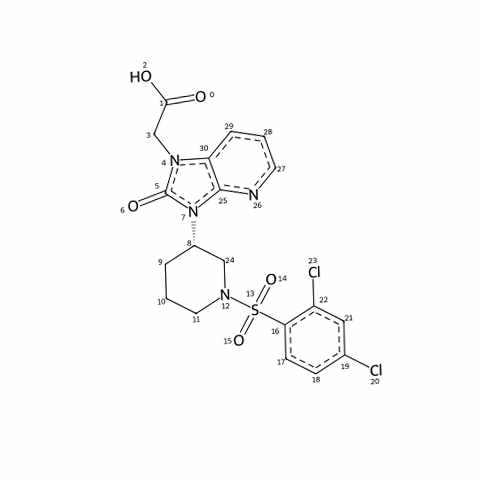 O=C(O)Cn1c(=O)n([C@H]2CCCN(S(=O)(=O)c3ccc(Cl)cc3Cl)C2)c2ncccc21